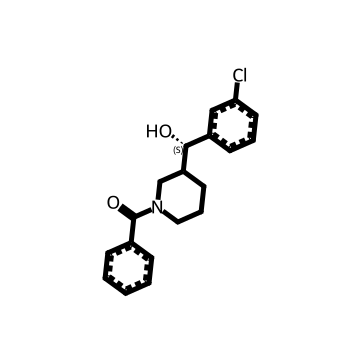 O=C(c1ccccc1)N1CCCC([C@H](O)c2cccc(Cl)c2)C1